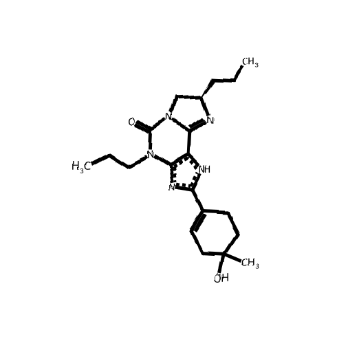 CCC[C@@H]1CN2C(=O)N(CCC)c3nc(C4=CCC(C)(O)CC4)[nH]c3C2=N1